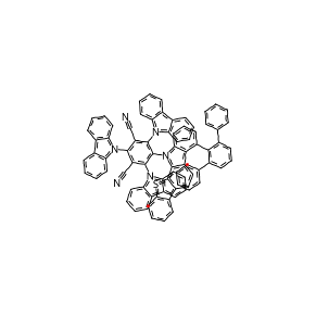 N#Cc1c(-n2c3ccccc3c3ccccc32)c(C#N)c(-n2c3ccccc3c3ccccc32)c(-n2c3cccc(-c4c(-c5ccccc5)cccc4-c4ccccc4)c3c3ccc4c5ccccc5sc4c32)c1-n1c2ccccc2c2ccccc21